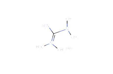 Br.CN(C)C(N)=[N+](C)C